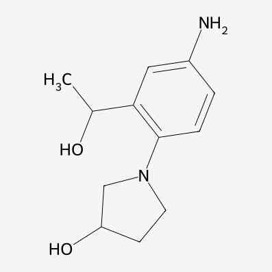 CC(O)c1cc(N)ccc1N1CCC(O)C1